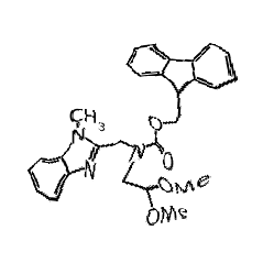 COC(CN(Cc1nc2ccccc2n1C)C(=O)OCC1c2ccccc2-c2ccccc21)OC